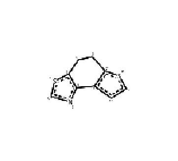 [c]1nc2c(s1)CCc1sccc1-2